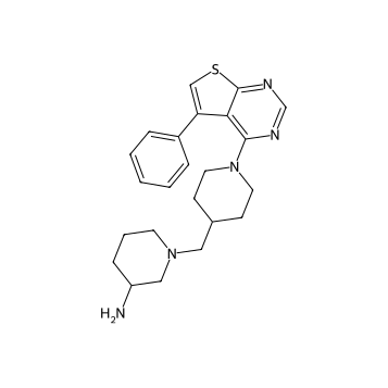 NC1CCCN(CC2CCN(c3ncnc4scc(-c5ccccc5)c34)CC2)C1